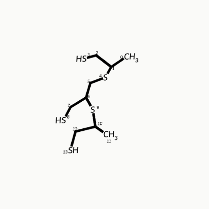 CC(CS)SCC(CS)SC(C)CS